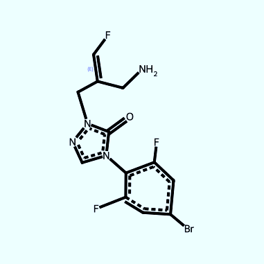 NC/C(=C\F)Cn1ncn(-c2c(F)cc(Br)cc2F)c1=O